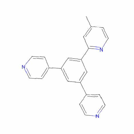 Cc1ccnc(-c2cc(-c3ccncc3)cc(-c3ccncc3)c2)c1